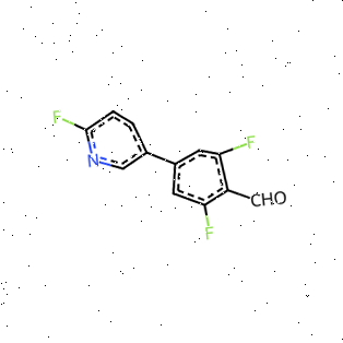 O=Cc1c(F)cc(-c2ccc(F)nc2)cc1F